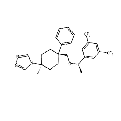 C[C@@H](OC[C@]1(c2ccccc2)CC[C@](C)(n2cnnc2)CC1)c1cc(C(F)(F)F)cc(C(F)(F)F)c1